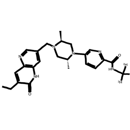 [2H]C([2H])([2H])NC(=O)c1ccc(N2C[C@H](C)N(Cc3cnc4cc(CC)c(=O)[nH]c4c3)C[C@H]2C)cn1